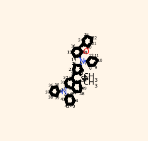 C[Si]1(C)c2cc(N(c3ccccc3)c3cccc4c3oc3ccccc34)ccc2-c2ccc(N(c3ccccc3)c3ccccc3)c3cccc1c23